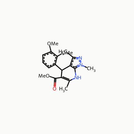 COC(=O)C1=C(C)Nc2c(c(C)nn2C)C1c1cccc(OC)c1OC